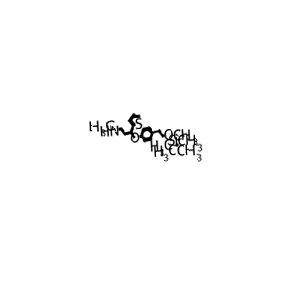 CNCCC(Oc1ccc(CCO[Si](C)(C)C(C)(C)C)cc1)c1cccs1